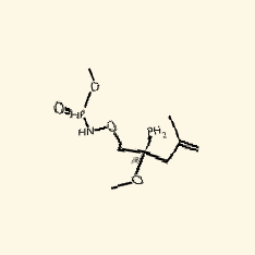 C=C(C)C[C@@](P)(CON[PH](=O)OC)OC